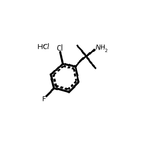 CC(C)(N)c1ccc(F)cc1Cl.Cl